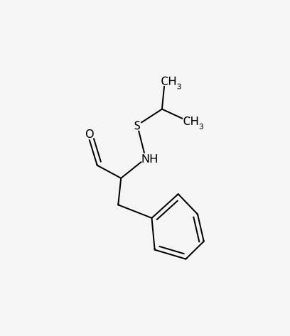 CC(C)SNC(C=O)Cc1ccccc1